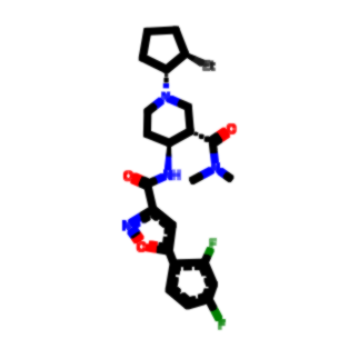 CC[C@@H]1CCC[C@H]1N1CC[C@H](NC(=O)c2cc(-c3ccc(F)cc3F)on2)[C@@H](C(=O)N(C)C)C1